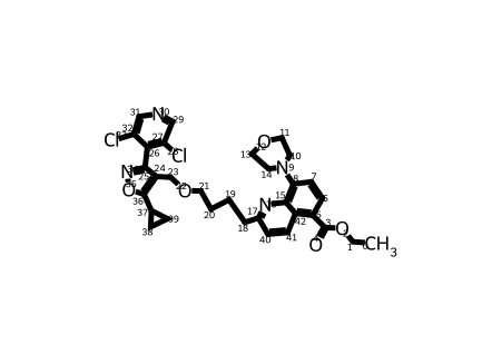 CCOC(=O)c1ccc(N2CCOCC2)c2nc(CCCCOCc3c(-c4c(Cl)cncc4Cl)noc3C3CC3)ccc12